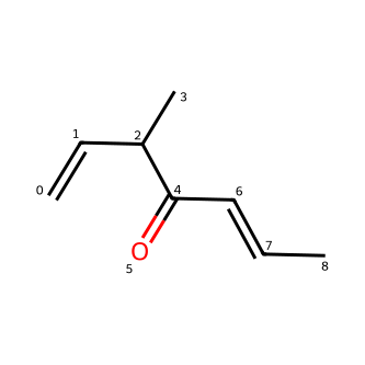 C=CC(C)C(=O)C=CC